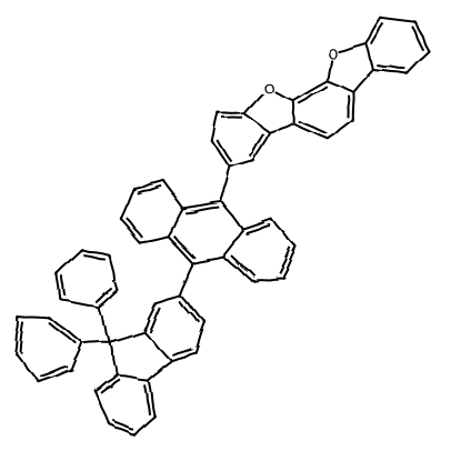 c1ccc(C2(c3ccccc3)c3ccccc3-c3ccc(-c4c5ccccc5c(-c5ccc6oc7c(ccc8c9ccccc9oc87)c6c5)c5ccccc45)cc32)cc1